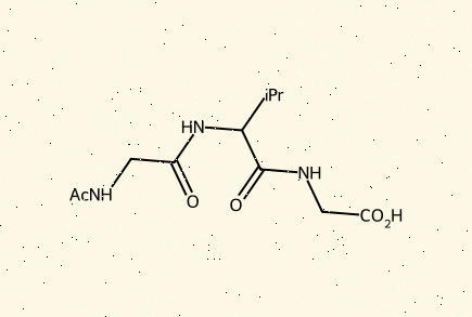 CC(=O)NCC(=O)NC(C(=O)NCC(=O)O)C(C)C